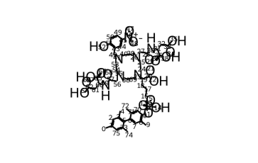 Cc1cc(C)c(-c2cc(C)c(OP(=O)(O)OCCC[C@H](C(=O)O)N3CCN(CC(=O)N[C@@H](CC(=O)O)C(=O)O)CCN(Cc4cc([N+](=O)[O-])ccc4O)CCN(CC(=O)N[C@@H](CC(=O)O)C(=O)O)CC3)cc2C)c(C)c1